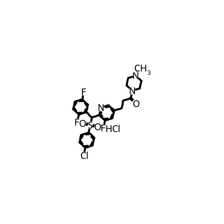 CN1CCN(C(=O)CCc2cnc(C(c3cc(F)ccc3F)S(=O)(=O)c3ccc(Cl)cc3)c(F)c2)CC1.Cl